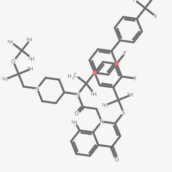 [2H]c1cccc2c(=O)cc(SC([2H])([2H])c3cccc(F)c3F)n(CC(=O)N(C3CCN(CC([2H])([2H])OC([2H])([2H])[2H])CC3)C([2H])(C)c3ccc(-c4ccc(C(F)(F)F)cc4)cc3)c12